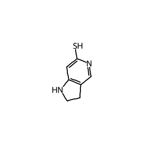 Sc1cc2c(cn1)CCN2